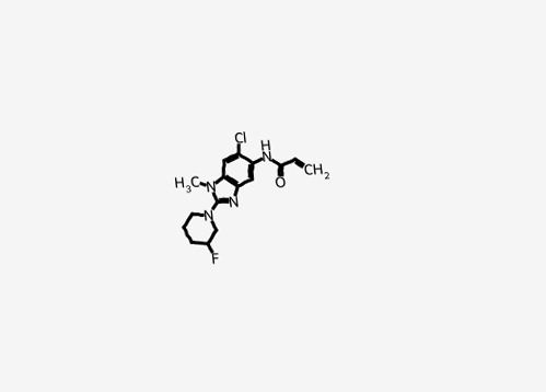 C=CC(=O)Nc1cc2nc(N3CCCC(F)C3)n(C)c2cc1Cl